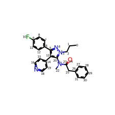 CCCn1nc(-c2ccc(F)cc2)c(-c2ccncc2)c1N(C)C(=O)Cc1ccccc1